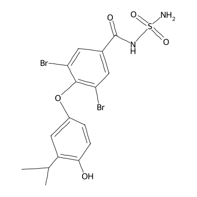 CC(C)c1cc(Oc2c(Br)cc(C(=O)NS(N)(=O)=O)cc2Br)ccc1O